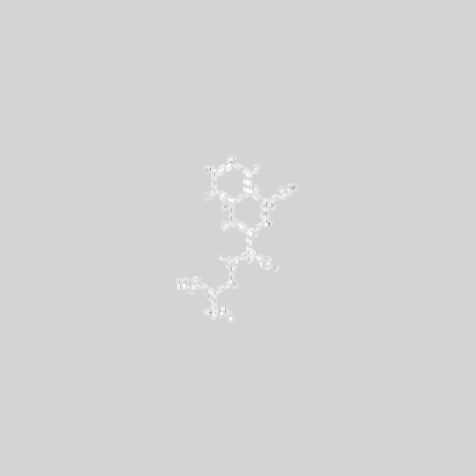 CC(C)COC(=O)c1cc([O])c2ccccc2c1